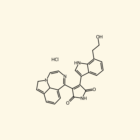 Cl.O=C1NC(=O)C(c2c[nH]c3c(CCO)cccc23)=C1C1=NC=CN2CC=C3C=CC=C1C32